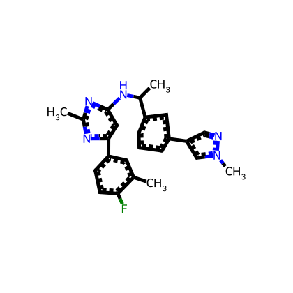 Cc1nc(NC(C)c2cccc(-c3cnn(C)c3)c2)cc(-c2ccc(F)c(C)c2)n1